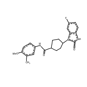 COc1ccc(NC(=O)C2CCC(n3c(=O)[nH]c4ccc(F)cc43)CC2)cc1C